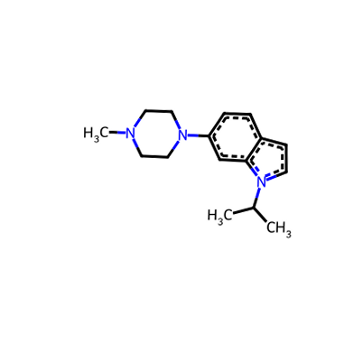 CC(C)n1ccc2ccc(N3CCN(C)CC3)cc21